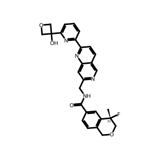 C[C@@]1(F)COCc2ccc(C(=O)NCc3cc4nc(-c5cccc(C6(O)COC6)n5)ccc4cn3)cc21